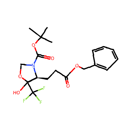 CC(C)(C)OC(=O)N1COC(O)(C(F)(F)F)[C@@H]1CCC(=O)OCc1ccccc1